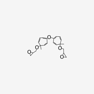 CC1(OCC2CO2)C=CC=C(OC2=CC=CC(C)(OCC3CO3)C=C2)C=C1